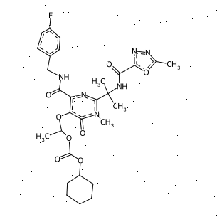 Cc1nnc(C(=O)NC(C)(C)c2nc(C(=O)NCc3ccc(F)cc3)c(OC(C)OC(=O)OC3CCCCC3)c(=O)n2C)o1